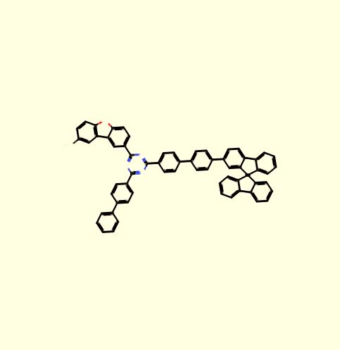 N#Cc1ccc2oc3ccc(-c4nc(-c5ccc(-c6ccccc6)cc5)nc(-c5ccc(-c6ccc(-c7ccc8c(c7)C7(c9ccccc9-c9ccccc97)c7ccccc7-8)cc6)cc5)n4)cc3c2c1